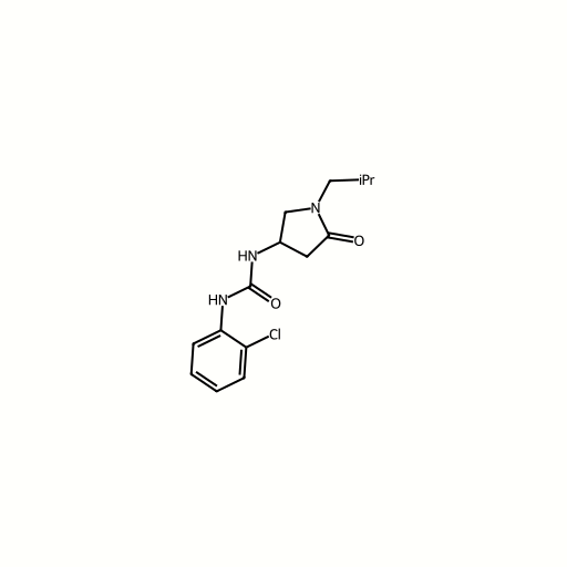 CC(C)CN1CC(NC(=O)Nc2ccccc2Cl)CC1=O